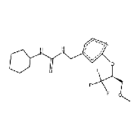 COC[C@H](Oc1cc(CNC(=O)NC2CCCCC2)ccn1)C(F)(F)F